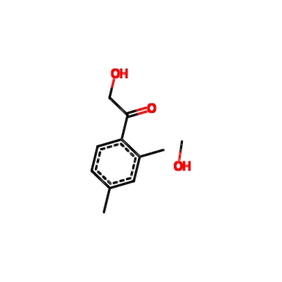 CO.Cc1ccc(C(=O)CO)c(C)c1